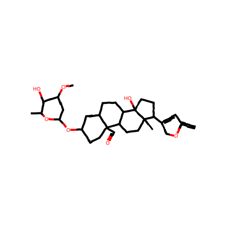 C=C1C=C(C2CCC3(O)C4CCC5CC(OC6CC(OC)C(O)C(C)O6)CCC5(C=O)C4CCC23C)CO1